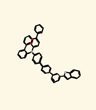 c1ccc(-c2ccc(N(c3ccc(-c4ccc(-c5cccc(-c6cc7ccccc7o6)c5)cc4)cc3)c3ccccc3-c3ccccc3)cc2)cc1